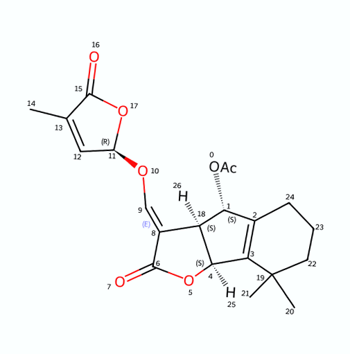 CC(=O)O[C@@H]1C2=C([C@H]3OC(=O)/C(=C/O[C@H]4C=C(C)C(=O)O4)[C@@H]13)C(C)(C)CCC2